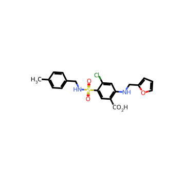 Cc1ccc(CNS(=O)(=O)c2cc(C(=O)O)c(NCc3ccco3)cc2Cl)cc1